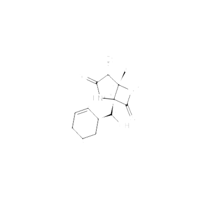 CC[C@H]1C(=O)N[C@@]2(C(O)[C@@H]3C=CCCC3)C(=O)O[C@@]12C